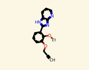 C#CCOc1cccc(-c2nc3ncccc3[nH]2)c1OCC